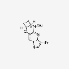 CC(C)c1cnn2cc3c(nc12)N(C(C)(C)C)[C@H]1CC[C@@H]1O3